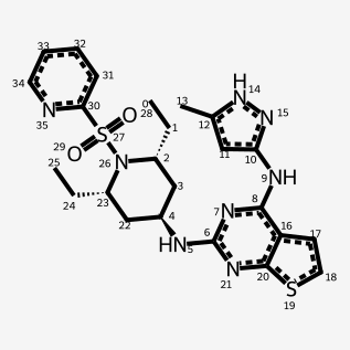 CC[C@@H]1C[C@@H](Nc2nc(Nc3cc(C)[nH]n3)c3ccsc3n2)C[C@H](CC)N1S(=O)(=O)c1ccccn1